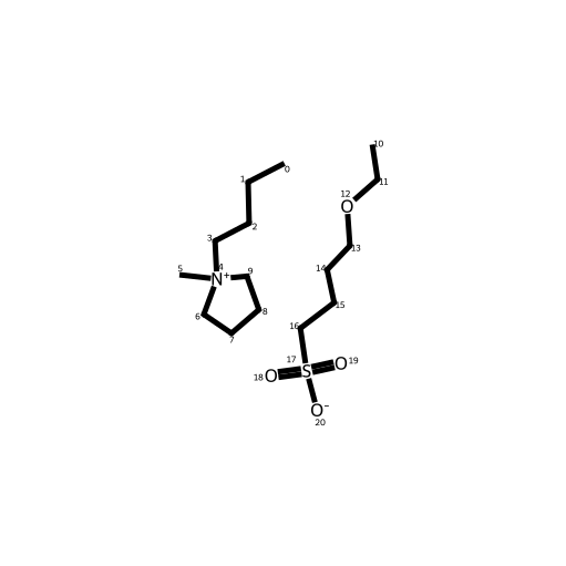 CCCC[N+]1(C)CCCC1.CCOCCCCS(=O)(=O)[O-]